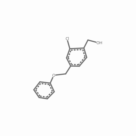 OCc1ccc(COc2ccccc2)cc1Cl